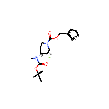 CN(C(=O)OC(C)(C)C)[C@@H]1CCN(C(=O)OCc2ccccc2)C[C@@H]1F